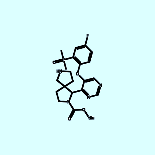 CC(C)(C)OC(=O)N1CCC2(CCNC2)C1c1ncncc1Oc1ccc(F)cc1P(C)(C)=O